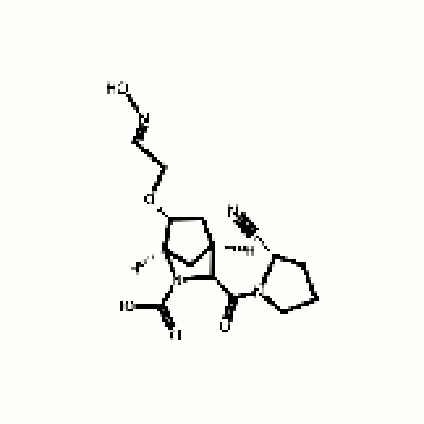 N#C[C@@H]1CCCN1C(=O)[C@@H]1[C@H]2C[C@H]([C@H](OCC=NO)C2)N1C(=O)O